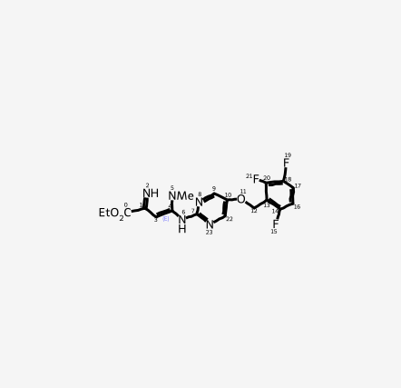 CCOC(=O)C(=N)/C=C(\NC)Nc1ncc(OCc2c(F)ccc(F)c2F)cn1